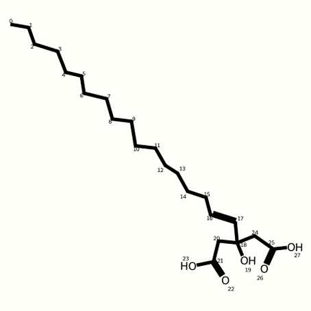 CCCCCCCCCCCCCCCCC=CC(O)(CC(=O)O)CC(=O)O